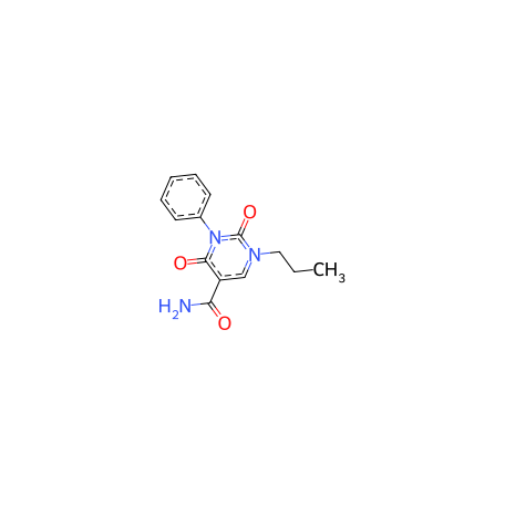 CCCn1cc(C(N)=O)c(=O)n(-c2ccccc2)c1=O